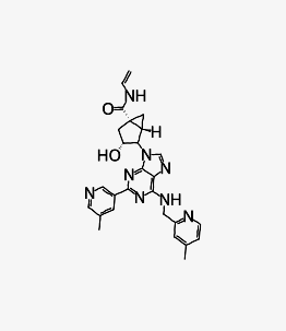 C=CNC(=O)[C@@]12C[C@@H](O)C(n3cnc4c(NCc5cc(C)ccn5)nc(-c5cncc(C)c5)nc43)[C@H]1C2